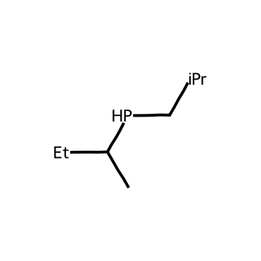 CCC(C)PCC(C)C